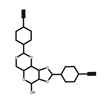 C#CC1CCC(C2OCC3OC(O)C4OC(C5CCC(C#C)CC5)OC4C3O2)CC1